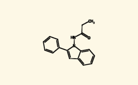 CCC(=O)Nn1c(-c2ccccc2)cc2ccccc21